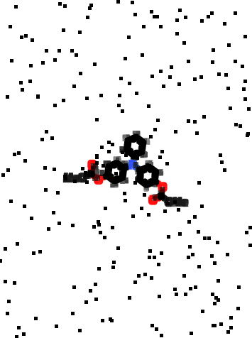 COC(=O)Oc1ccc(N(c2ccccc2)c2ccc(OC(=O)OC)cc2)cc1